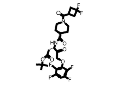 CC(C)(C)OC(=O)C[C@H](NC(=O)C1CCN(C(=O)C2CC(F)(F)C2)CC1)C(=O)COc1c(F)c(F)cc(F)c1F